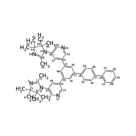 CC1=NC(C)(C)C(C)(C)N1c1cncc(-c2cc(-c3ccc(-c4ccccc4)cc3)cc(-c3cncc(N4C(C)=NC(C)(C)C4(C)C)c3)c2)c1